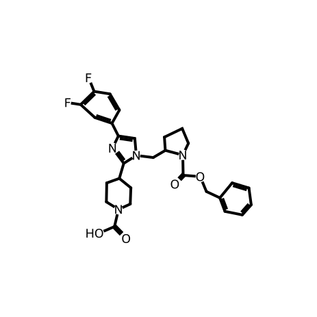 O=C(O)N1CCC(c2nc(-c3ccc(F)c(F)c3)cn2CC2CCCN2C(=O)OCc2ccccc2)CC1